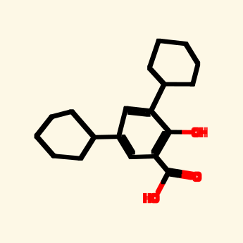 O=C(O)c1cc(C2CCCCC2)cc(C2CCCCC2)c1O